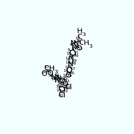 CCC(C)n1ncn(-c2ccc(N3CCN(c4ccc(OCC5COC(Cn6c[n+](COC(C)=O)cn6)(c6ccc(Cl)cc6Cl)O5)cc4)CC3)cc2)c1=O